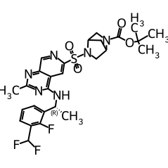 Cc1nc(N[C@H](C)c2cccc(C(F)F)c2F)c2cc(S(=O)(=O)N3CC4CC3CN4C(=O)OC(C)(C)C)ncc2n1